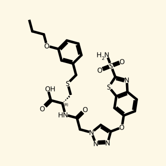 CCCOc1cccc(CSC[C@H](NC(=O)Cn2cc(Oc3ccc4nc(S(N)(=O)=O)sc4c3)nn2)C(=O)O)c1